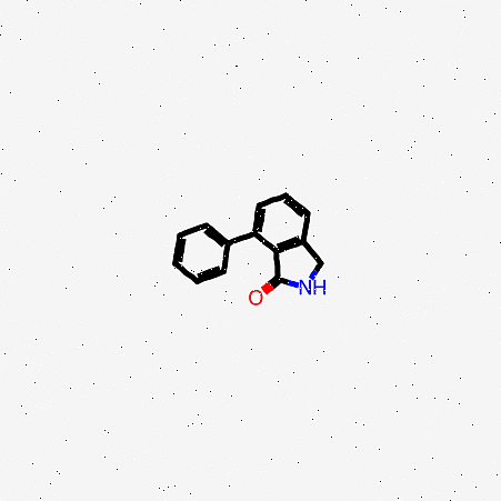 O=C1NCc2cccc(-c3ccccc3)c21